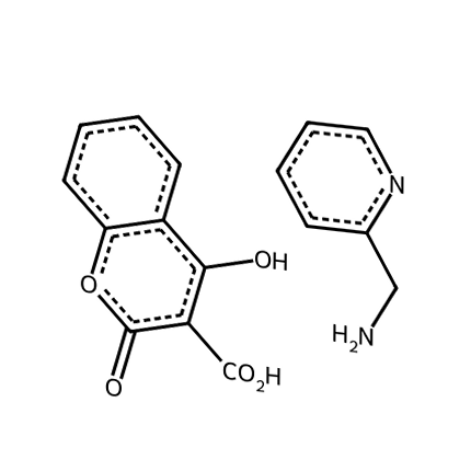 NCc1ccccn1.O=C(O)c1c(O)c2ccccc2oc1=O